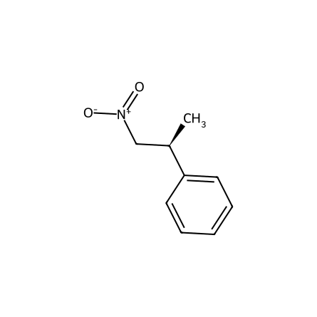 C[C@H](C[N+](=O)[O-])c1ccccc1